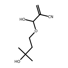 C=C(C#N)C(O)OCCC(C)(C)O